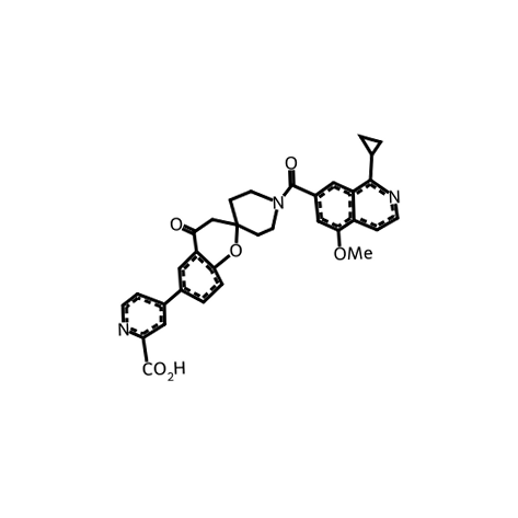 COc1cc(C(=O)N2CCC3(CC2)CC(=O)c2cc(-c4ccnc(C(=O)O)c4)ccc2O3)cc2c(C3CC3)nccc12